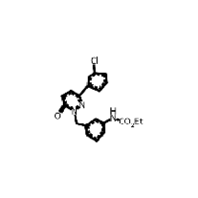 CCOC(=O)Nc1cccc(Cn2nc(-c3cccc(Cl)c3)ccc2=O)c1